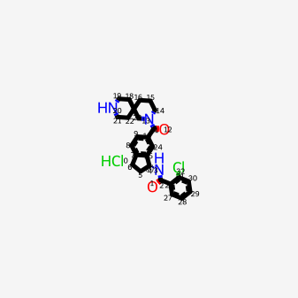 Cl.O=C(N[C@@H]1CCc2ccc(C(=O)N3CCCC4(CCNCC4)C3)cc21)c1ccccc1Cl